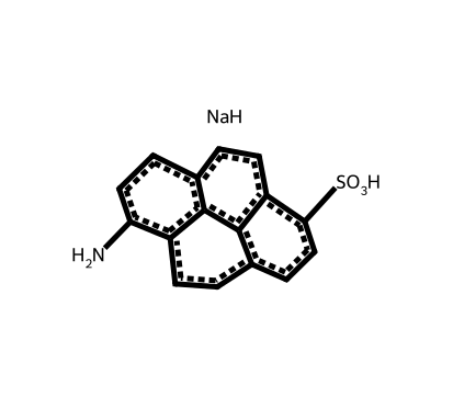 Nc1ccc2ccc3c(S(=O)(=O)O)ccc4ccc1c2c43.[NaH]